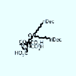 CCCCCCCCCCCCCCCCCCN(CCCCCCCCCCCCCCCCCC)C(=O)CCCCC1(N(CC(=O)O)CC(=O)O)CN(CC(=O)O)CCN(CC(=O)O)C1